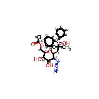 CC(=O)OCC1O[C@@H](CC(C)(C)[Si](O)(c2ccccc2)c2ccccc2)[C@@H](N=[N+]=[N-])C(O)[C@@H]1O